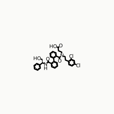 O=C(O)CCN(CCc1ccc(Cl)cc1Cl)C(=O)c1ccccc1-c1ccccc1C(=O)N[C@H](CO)c1ccccc1